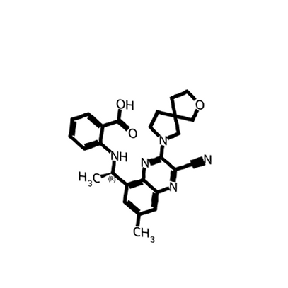 Cc1cc([C@@H](C)Nc2ccccc2C(=O)O)c2nc(N3CCC4(CCOC4)C3)c(C#N)nc2c1